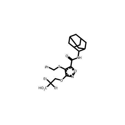 CCC(CC)(COc1noc(C(=O)NC2C3CC4CC(C3)CC2C4)c1SCC(C)C)C(=O)O